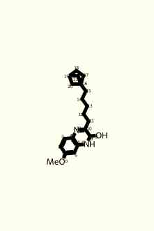 COc1ccc2c(c1)NC(O)C(CCCCCC13CCC(C1)C3)=N2